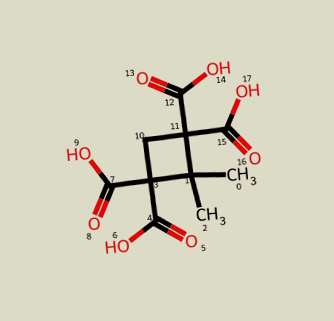 CC1(C)C(C(=O)O)(C(=O)O)CC1(C(=O)O)C(=O)O